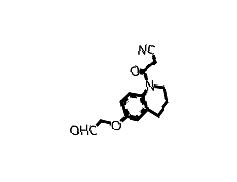 N#CCC(=O)N1CCCc2cc(OCC=O)ccc21